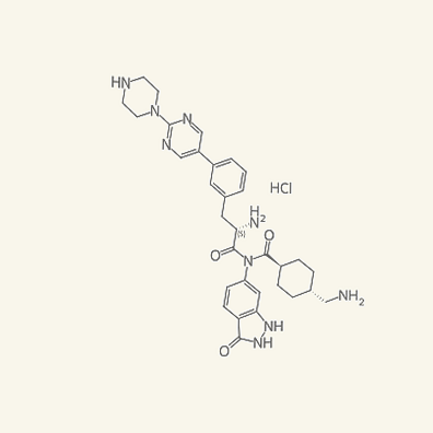 Cl.NC[C@H]1CC[C@H](C(=O)N(C(=O)[C@@H](N)Cc2cccc(-c3cnc(N4CCNCC4)nc3)c2)c2ccc3c(=O)[nH][nH]c3c2)CC1